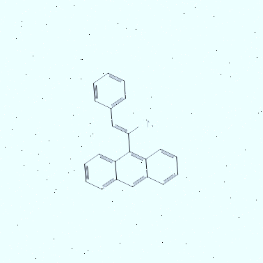 N#CC(=Cc1ccccc1)c1c2ccccc2cc2ccccc12